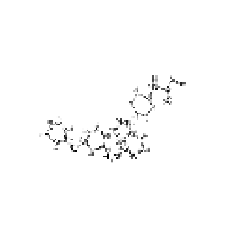 C=CC(=O)N[C@H]1CC[C@H](n2nc(-c3ccc(Oc4ccccc4)cc3)c3c(N)nccc32)CC1